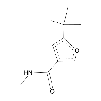 CNC(=O)c1coc(C(C)(C)C)c1